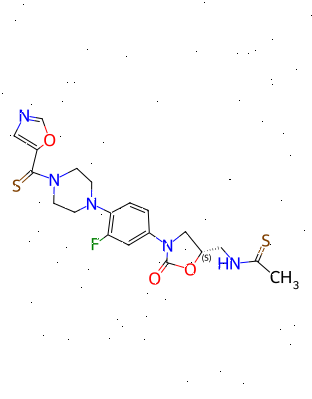 CC(=S)NC[C@H]1CN(c2ccc(N3CCN(C(=S)c4cnco4)CC3)c(F)c2)C(=O)O1